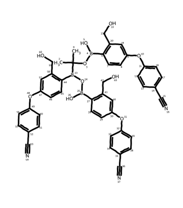 CC(C)(OB(O)c1ccc(Oc2ccc(C#N)cc2)cc1CO)B(OB(O)c1ccc(Oc2ccc(C#N)cc2)cc1CO)c1ccc(Oc2ccc(C#N)cc2)cc1CO